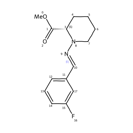 COC(=O)[C@@H]1CCCCN1/N=C/c1cccc(F)c1